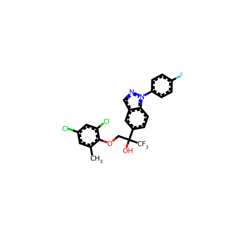 Cc1cc(Cl)cc(Cl)c1OCC(O)(c1ccc2c(cnn2-c2ccc(F)cc2)c1)C(F)(F)F